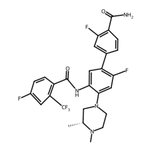 C[C@@H]1CN(c2cc(F)c(-c3ccc(C(N)=O)c(F)c3)cc2NC(=O)c2ccc(F)cc2C(F)(F)F)CCN1C